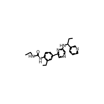 CCNC(=O)Nc1ccc(-c2cncc(NC(CC)c3cccnc3)n2)cc1CC